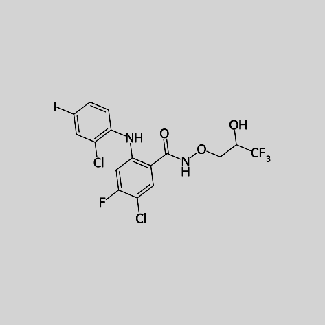 O=C(NOCC(O)C(F)(F)F)c1cc(Cl)c(F)cc1Nc1ccc(I)cc1Cl